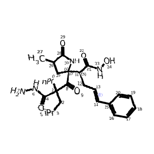 CCCC(CC(C)C)(C(=O)NN)C(=O)[C@@]1([C@H](C/C=C/c2ccccc2)C(=O)NO)CC(C)C(=O)N1